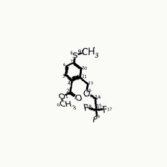 COC(=O)c1ccc(SC)cc1COCC(F)(F)F